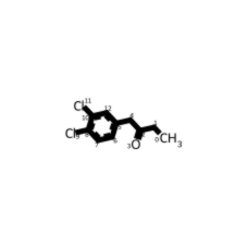 CCC(=O)Cc1ccc(Cl)c(Cl)c1